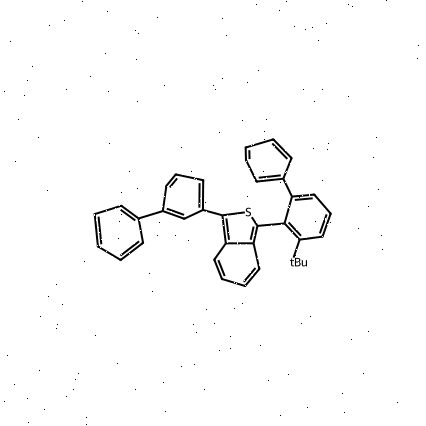 CC(C)(C)c1cccc(-c2ccccc2)c1-c1sc(-c2cccc(-c3ccccc3)c2)c2ccccc12